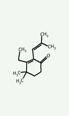 CCC1=C(C=C(C)C)C(=O)CCC1(C)C